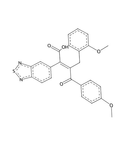 COc1ccc(C(=O)C(Cc2ccccc2OC)=C(C(=O)O)c2ccc3nsnc3c2)cc1